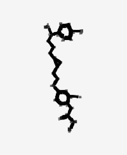 CCCN(CCCC1CC1CCOc1ccc(CC(=O)NCC)c(F)c1)c1ncc(Cl)cn1